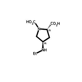 CCN[C@@H]1C[C@@H](C(=O)O)N(C(=O)O)C1